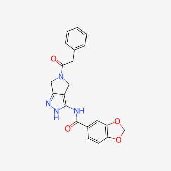 O=C(Nc1[nH]nc2c1CN(C(=O)Cc1ccccc1)C2)c1ccc2c(c1)OCO2